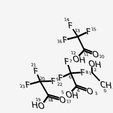 CCO.O=C(O)C(F)(F)F.O=C(O)C(F)(F)F.O=C(O)C(F)(F)F